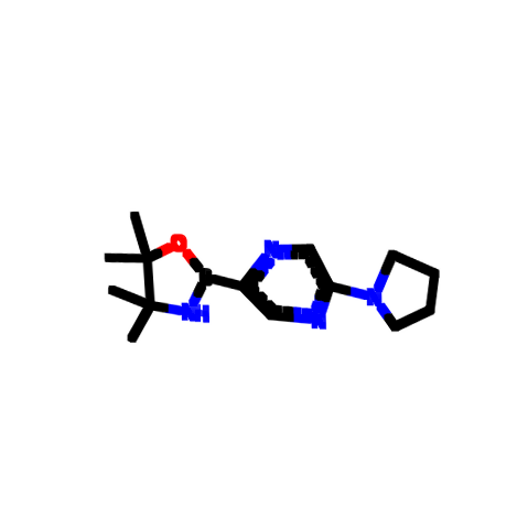 CC1(C)NB(c2cnc(N3CCCC3)cn2)OC1(C)C